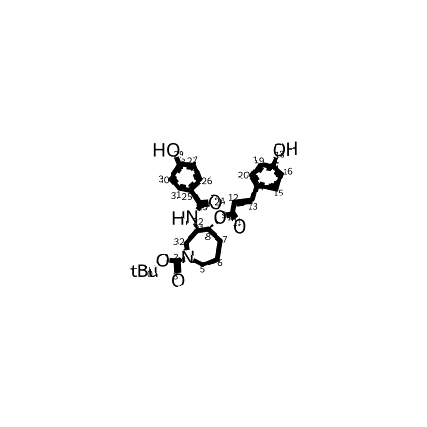 CC(C)(C)OC(=O)N1CCC[C@@H](OC(=O)/C=C/c2ccc(O)cc2)[C@H](NC(=O)c2ccc(O)cc2)C1